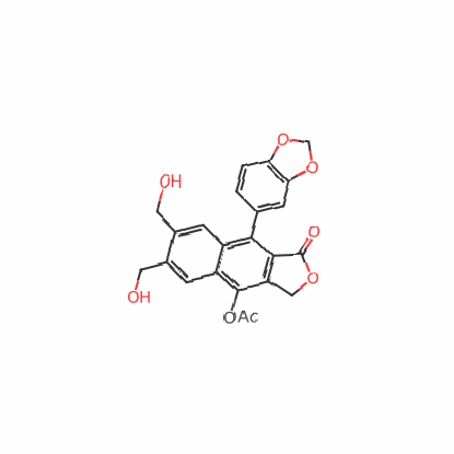 CC(=O)Oc1c2c(c(-c3ccc4c(c3)OCO4)c3cc(CO)c(CO)cc13)C(=O)OC2